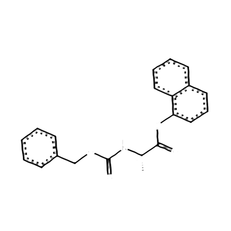 C[C@H](NC(=O)OCc1ccccc1)C(=O)Oc1cccc2ccccc12